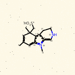 CC1=CC(C)(CS(=O)(=O)O)c2c3c(n(C)c2=C1)=CNCC3